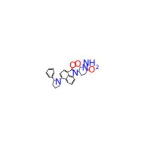 NN1C(=O)CCC(N2C(=O)c3ccc(N4CCC[C@H]4c4ccccc4)c4cccc2c34)C1=O